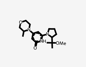 COC(C)(C)C1CCCN1c1cc(N2CCOCC2C)cc(=O)[nH]1